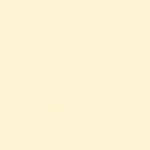 CC(C)(C)OC(=O)N1CCN(CC2CCN(c3ccc(C(=O)N4CCC(Oc5ccc(C#N)c(Cl)c5)CC4)cc3)CC2)CC1